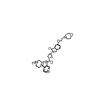 O=C(Nc1cnccc1N1CCNCC1)C1CC=C(N2Cc3ccc(OCCN4CCOCC4)cc3C2=O)S1